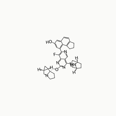 Oc1cc(-c2ncc3c(N4C[C@H]5CC[C@@H](C4)N5)nc(OC[C@]45CCCN4C[C@@H]4C[C@@H]45)nc3c2F)c2c3c(ccc2c1)CCC3